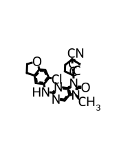 Cn1c(=O)n(C23CCC(C#N)(CC2)CC3)c2nc(Nc3cc4c(cc3Cl)OCC4)ncc21